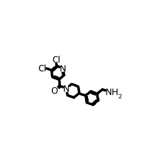 NCc1cccc(C2CCN(C(=O)c3cnc(Cl)c(Cl)c3)CC2)c1